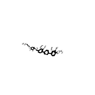 CCCCOc1ccc(OCc2ccc(C3=CCC(c4ccc(C)c(F)c4F)CC3)c(F)c2F)c(F)c1F